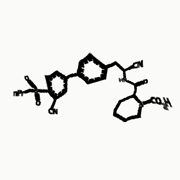 CCCS(=O)(=O)c1ccc(-c2ccc(C[C@@H](C#N)NC(=O)C3CCCCN3C(=O)O)cc2)cc1C#N